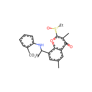 CC[S+]([O-])c1oc2c(C(C)Nc3ccccc3C(=O)O)cc(C)cc2c(=O)c1C